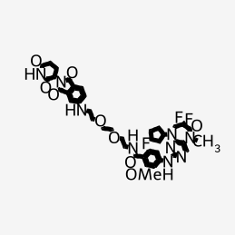 COc1cc(C(=O)NCCOCCOCCNc2ccc3c(c2)C(=O)N(C2CCC(=O)NC2=O)C3=O)c(F)cc1Nc1ncc2c(n1)N(C1CCCC1)CC(F)(F)C(=O)N2C